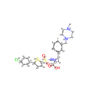 CN1CCN(Cc2cccc(C3CC3(NS(=O)(=O)c3ccc(-c4ccc(Cl)cc4)s3)C(=O)O)c2)CC1